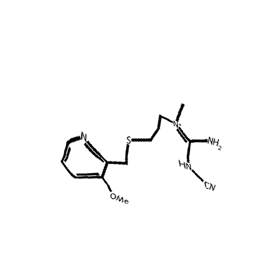 COc1cccnc1CSCC[N+](C)=C(N)NC#N